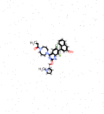 C=CC(=O)N1CCCN(c2nc(OC[C@@H]3CCCN3C)nc3c(F)c(-c4cc(O)cc5ccccc45)c(Cl)cc23)CCC1